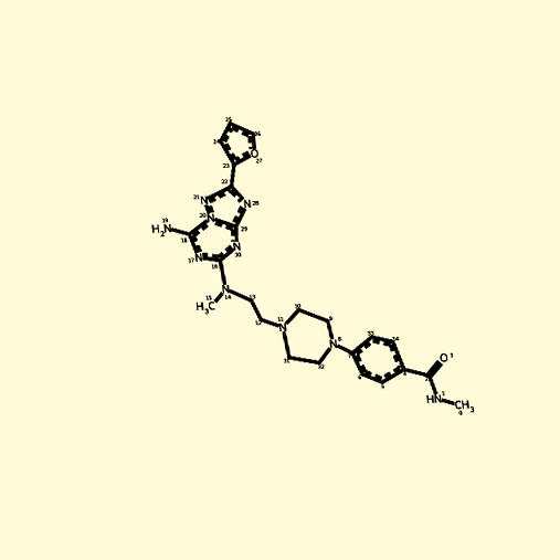 CNC(=O)c1ccc(N2CCN(CCN(C)c3nc(N)n4nc(-c5ccco5)nc4n3)CC2)cc1